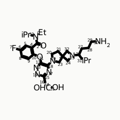 CCN(C(=O)c1cc(F)ccc1Oc1nnc(C)nc1N1CCC2(C1)CN(C(CCCN)C(C)C)C2)C(C)C.O=CO